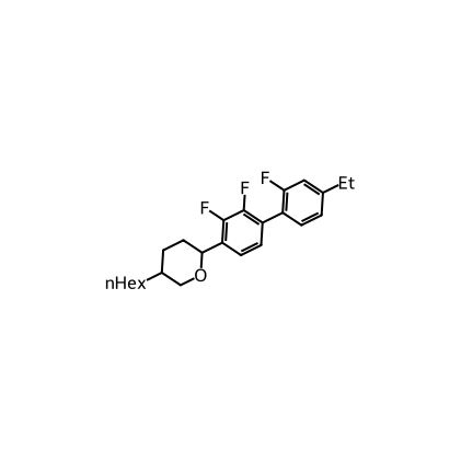 CCCCCCC1CCC(c2ccc(-c3ccc(CC)cc3F)c(F)c2F)OC1